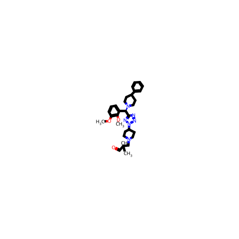 COc1cccc([C@H](c2nnn(C3CCN(CC(C)(C)C=O)CC3)n2)N2CCC(c3ccccc3)CC2)c1OC